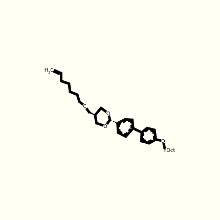 C=CCCCCCCC[C@H]1CO[C@H](c2ccc(-c3ccc(OCCCCCCCC)cc3)cc2)OC1